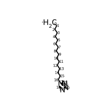 [CH2]CCCCCCCCCCCCCCCCn1cnnn1